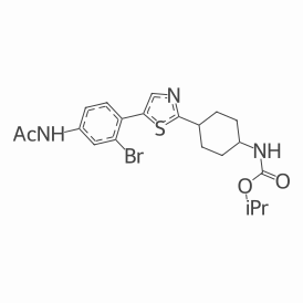 CC(=O)Nc1ccc(-c2cnc(C3CCC(NC(=O)OC(C)C)CC3)s2)c(Br)c1